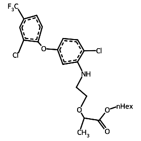 CCCCCCOC(=O)C(C)OCCNc1cc(Oc2ccc(C(F)(F)F)cc2Cl)ccc1Cl